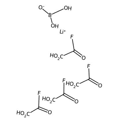 O=C(O)C(=O)F.O=C(O)C(=O)F.O=C(O)C(=O)F.O=C(O)C(=O)F.[Li+].[O-]B(O)O